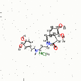 COc1ccc(CCN(C)CCCN2C=Cc3ccc(OC)c(OC)c3CC2=O)cc1OC.Cl